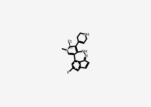 CC[C@H]1C(C2=CCNCC2)=C2NN=C3C=Cc4cc(F)cc(c43)C2=CN1C